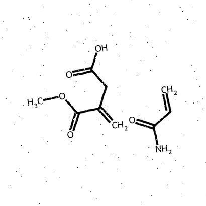 C=C(CC(=O)O)C(=O)OC.C=CC(N)=O